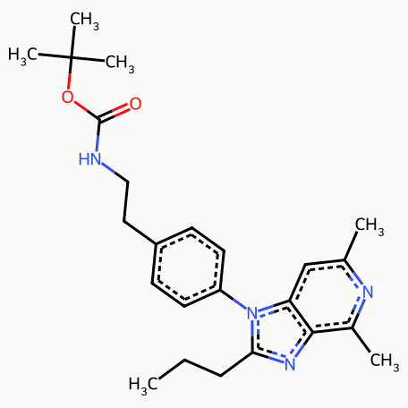 CCCc1nc2c(C)nc(C)cc2n1-c1ccc(CCNC(=O)OC(C)(C)C)cc1